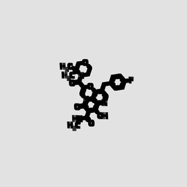 CNC(=O)c1c(O)c2ncc(Cc3ccc(F)cc3)c3c2n(c1=O)C=C(C(=O)N1CCOCC1(C)C)O3